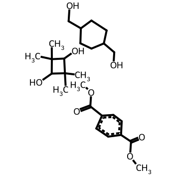 CC1(C)C(O)C(C)(C)C1O.COC(=O)c1ccc(C(=O)OC)cc1.OCC1CCC(CO)CC1